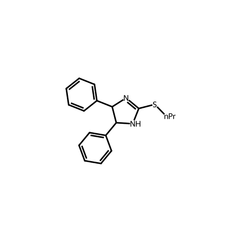 CCCSC1=NC(c2ccccc2)C(c2ccccc2)N1